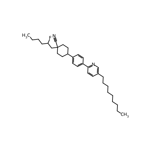 CCCCCCCCCc1ccc(-c2ccc(C3CCC(C#N)(CC(F)CCCC)CC3)cc2)nc1